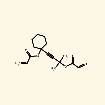 C=CC(=O)OC(C)(C)C#CC1(OC(=O)C=C)CCCCC1